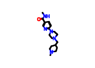 CNC(=O)c1ccc(N2CCN(CC3CCN(C)CC3)CC2)nc1